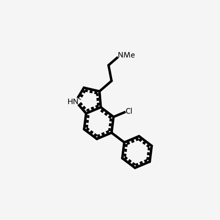 CNCCc1c[nH]c2ccc(-c3ccccc3)c(Cl)c12